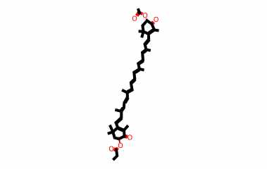 CCC(=O)O[C@H]1CC(C)(C)C(/C=C/C(C)=C/C=C/C(C)=C/C=C/C=C(C)/C=C/C=C(C)/C=C/C2=C(C)C(=O)[C@@H](OC(C)=O)CC2(C)C)=C(C)C1=O